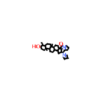 CC1C(O)CCC2(C)C1CCC1(C)C3CCC4(C(=O)N5CCCC5CN5CCCC5)CCCC4C3CCC21